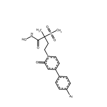 CC(=O)c1ccc(-c2ccn(CCC(C)(C(=O)NO)S(C)(=O)=O)c(=O)c2)cc1